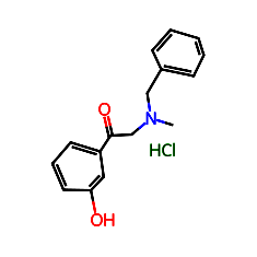 CN(CC(=O)c1cccc(O)c1)Cc1ccccc1.Cl